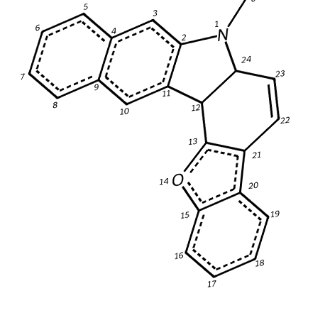 CN1c2cc3ccccc3cc2C2c3oc4ccccc4c3C=CC21